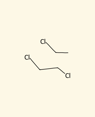 CCCl.ClCCCl